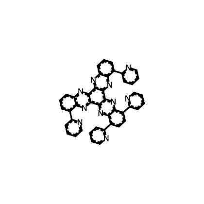 c1ccc(-c2cccc3nc4c5nc6cccc(-c7ccccn7)c6nc5c5nc6c(-c7ccccn7)ccc(-c7ccccn7)c6nc5c4nc23)nc1